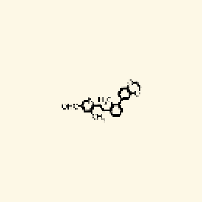 Cc1cc(C=O)cnc1CCc1cccc(-c2ccc3c(c2)OCCO3)c1C